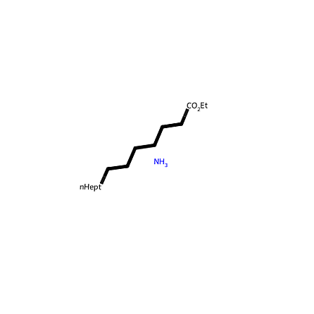 CCCCCCCCCCCCCC(=O)OCC.N